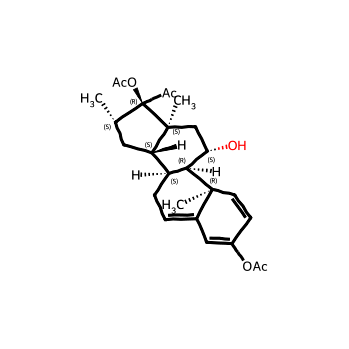 CC(=O)OC1=CC2=CC[C@@H]3[C@@H]([C@@H](O)C[C@@]4(C)[C@H]3C[C@H](C)[C@]4(OC(C)=O)C(C)=O)[C@@]2(C)C=C1